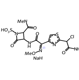 CNC(=O)C1C(NC(=O)/C(=N\OC)c2csc(C(Cl)C(N)=O)n2)C(=O)N1S(=O)(=O)O.[NaH]